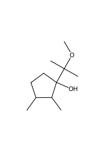 COC(C)(C)C1(O)CCC(C)C1C